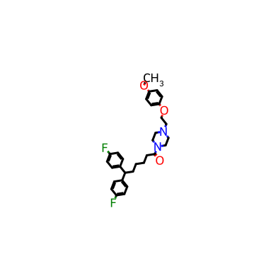 COc1ccc(OCCN2CCN(C(=O)CCCCC(c3ccc(F)cc3)c3ccc(F)cc3)CC2)cc1